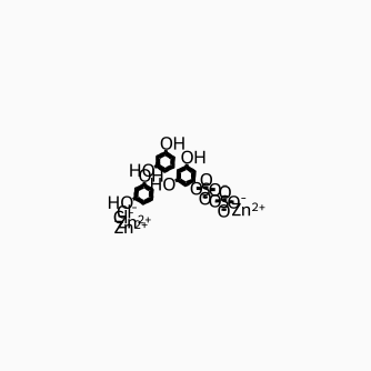 O=S(=O)([O-])[O-].O=S(=O)([O-])[O-].Oc1cccc(O)c1.Oc1cccc(O)c1.Oc1cccc(O)c1.[Cl-].[Cl-].[Zn+2].[Zn+2].[Zn+2]